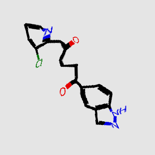 O=C(CCC(=O)c1ncccc1Cl)c1ccc2[nH]ncc2c1